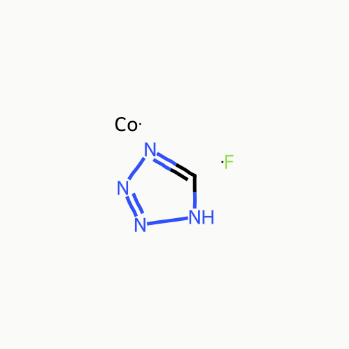 [Co].[F].c1nnn[nH]1